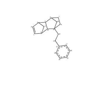 C1=CC2CC1C1C3CCC(CCc4ccccc4)(C3)C21